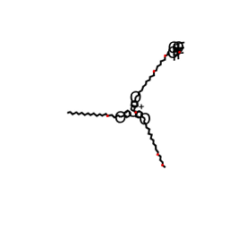 CCCCCCCCCCCCCCCCCCOc1ccc([S+](c2ccc(OCCCCCCCCCCCCCCCCCC)cc2)c2ccc(OCCCCCCCCCCCCCCCCCC)cc2)cc1.O=S(=O)([O-])C(F)(F)F